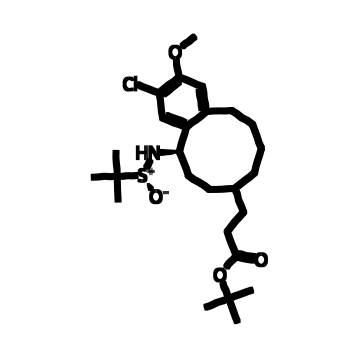 COc1cc2c(cc1Cl)[C@H](N[S@+]([O-])C(C)(C)C)CCC(CCC(=O)OC(C)(C)C)CCCC2